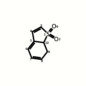 O=S1(=O)C=CC2=CC=CCC21